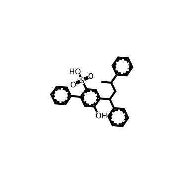 CC(CC(c1ccccc1)c1cc(S(=O)(=O)O)c(-c2ccccc2)cc1O)c1ccccc1